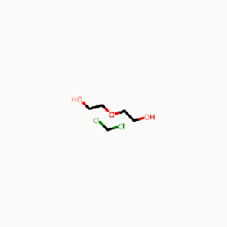 ClCCl.OCCOCCO